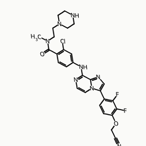 CN(CCN1CCNCC1)C(=O)c1ccc(Nc2nccn3c(-c4ccc(OCC#N)c(F)c4F)cnc23)cc1Cl